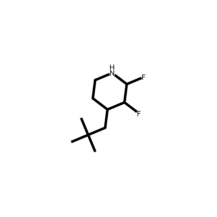 CC(C)(C)CC1CCNC(F)C1F